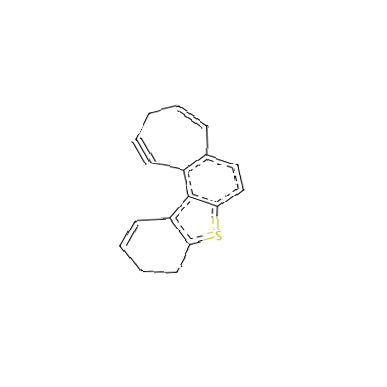 C1#Cc2c(ccc3sc4c(c23)C=CCC4)C=CC1